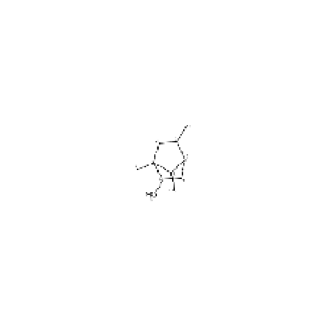 CC1CC2(C)C(O)CC1C2C